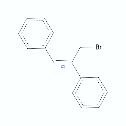 BrC/C(=C\c1ccccc1)c1ccccc1